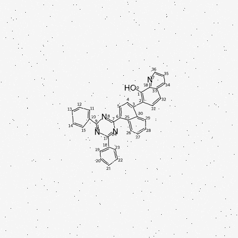 Oc1c(-c2ccc(-c3nc(-c4ccccc4)nc(-c4ccccc4)n3)c3ccccc23)ccc2cccnc12